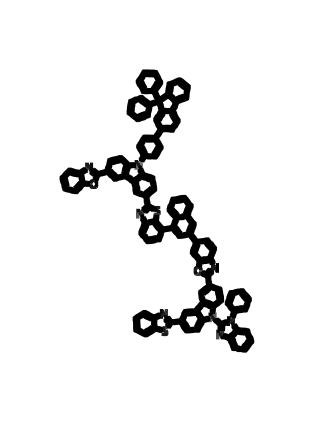 c1ccc(-n2c(-n3c4ccc(-c5nc6ccc(-c7cc(-c8cccc9nc(-c%10ccc%11c(c%10)c%10cc(-c%12nc%13ccccc%13o%12)ccc%10n%11-c%10ccc(-c%11ccc%12c(c%11)C(c%11ccccc%11)(c%11ccccc%11)c%11ccccc%11-%12)cc%10)sc89)c8ccccc8c7)cc6o5)cc4c4cc(-c5nc6ccccc6s5)ccc43)nc3ccccc32)cc1